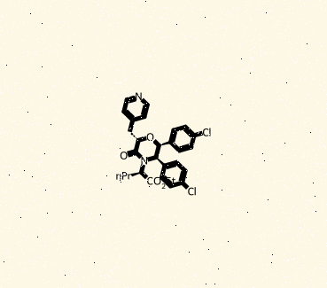 CCC[C@H](C(=O)OCC)N1C(=O)[C@H](Cc2ccncc2)O[C@@H](c2ccc(Cl)cc2)[C@H]1c1ccc(Cl)cc1